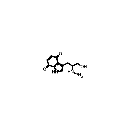 O=C1C=CC(=O)c2c(CC(CO)NP)c[nH]c21